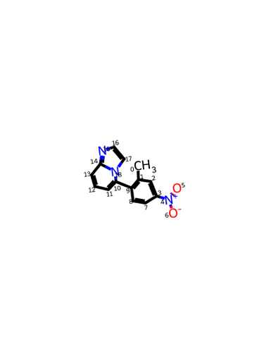 Cc1cc([N+](=O)[O-])ccc1-c1cccc2nccn12